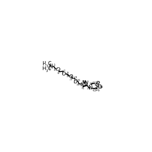 CN(C)CCOCCOCCOCCOCCn1cc(CN2CCS(=O)(=O)CC2)nn1